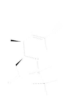 C#C/C(C)=C/[C@H](C)[C@H](CC=O)O[Si](C)(C)C(C)(C)C